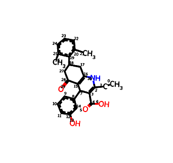 CCC1=C(C(=O)O)C(c2cccc(O)c2)C2=C(CC(c3c(C)cccc3C)CC2=O)N1